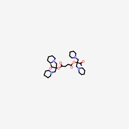 CC(=O)C(CN1CCCCC1)(CN1CCCCC1)OC(=O)CCC(=O)OC(CN1CCCCC1)(CN1CCCCC1)C(C)=O